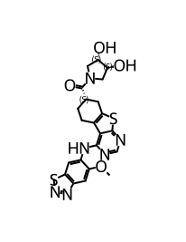 COc1cc2nnsc2cc1Nc1ncnc2sc3c(c12)CC[C@H](C(=O)N1C[C@H](O)[C@@H](O)C1)C3